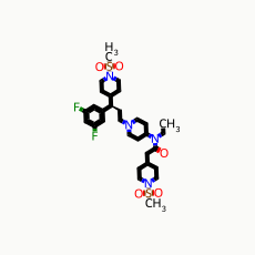 CCN(C(=O)CC1CCN(S(C)(=O)=O)CC1)C1CCN(CC[C@@H](c2cc(F)cc(F)c2)C2CCN(S(C)(=O)=O)CC2)CC1